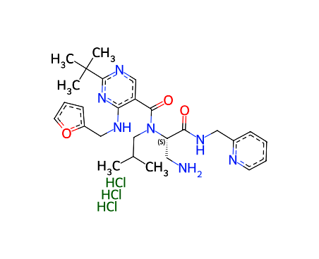 CC(C)CN(C(=O)c1cnc(C(C)(C)C)nc1NCc1ccco1)[C@@H](CN)C(=O)NCc1ccccn1.Cl.Cl.Cl